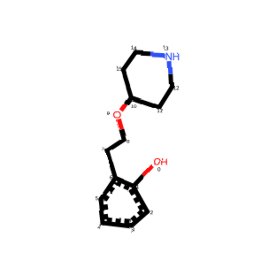 Oc1ccccc1CCOC1CCNCC1